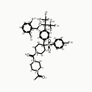 CC(=O)N1CCN(C(=O)N2CCC(c3ccc(C(OCc4c(F)cccc4F)(C(F)(F)F)C(F)(F)F)cc3)(S(=O)(=O)c3ccc(F)cc3)CC2)CC1